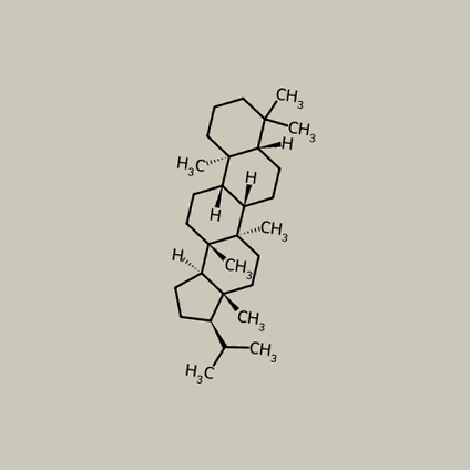 CC(C)[C@H]1CC[C@@H]2[C@]1(C)CC[C@]1(C)[C@H]3CC[C@H]4C(C)(C)CCC[C@]4(C)[C@H]3CC[C@@]21C